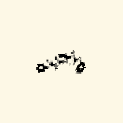 O=C(Nc1ccnc(NC(=O)Oc2ccccc2)n1)Oc1ccccc1